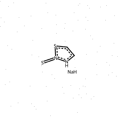 S=[n+]1[nH]ccs1.[NaH]